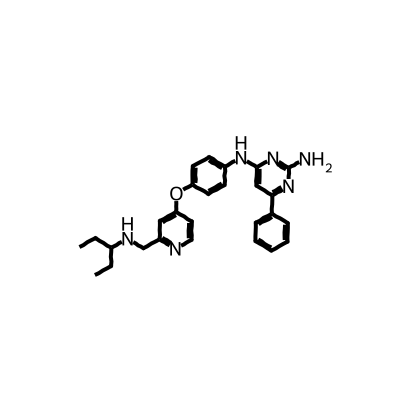 CCC(CC)NCc1cc(Oc2ccc(Nc3cc(-c4ccccc4)nc(N)n3)cc2)ccn1